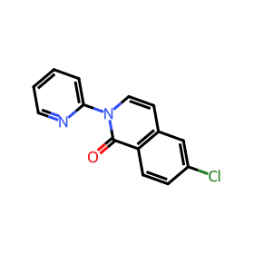 O=c1c2ccc(Cl)cc2ccn1-c1ccccn1